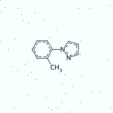 Cc1ccccc1-n1cc[c]n1